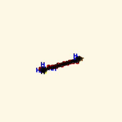 O=C(CCCC[C@@H]1SC[C@@H]2NC(=O)N[C@@H]21)NCCOCCOCCOCCOCCOCCOCCOCCOCCNC(=O)c1cnc(Br)s1